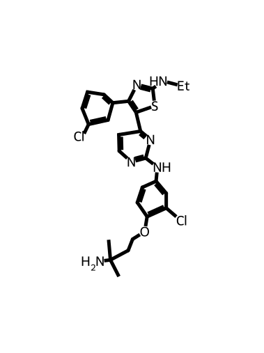 CCNc1nc(-c2cccc(Cl)c2)c(-c2ccnc(Nc3ccc(OCCC(C)(C)N)c(Cl)c3)n2)s1